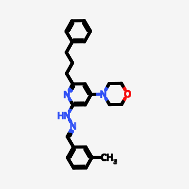 Cc1cccc(C=NNc2cc(N3CCOCC3)cc(CCCc3ccccc3)n2)c1